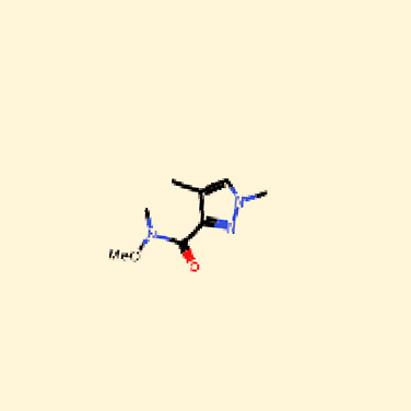 CON(C)C(=O)c1nn(C)cc1C